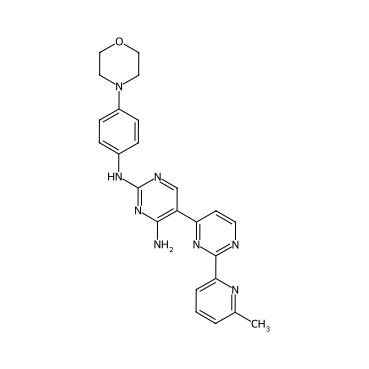 Cc1cccc(-c2nccc(-c3cnc(Nc4ccc(N5CCOCC5)cc4)nc3N)n2)n1